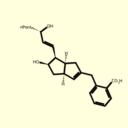 CCCCC[C@H](O)/C=C/[C@H]1[C@H]2CC(Cc3ccccc3C(=O)O)=C[C@H]2C[C@H]1O